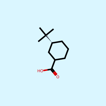 CC(C)(C)[C@@H]1CCCC(C(=O)O)C1